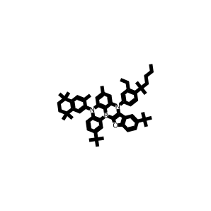 CCCCC(C)(C)c1ccc(N2c3cc(C)cc4c3B(c3cc(C(C)(C)C)ccc3N4c3cc4c(cc3C)C(C)(C)CCC4(C)C)c3oc4ccc(C(C)(C)C)cc4c32)cc1CC